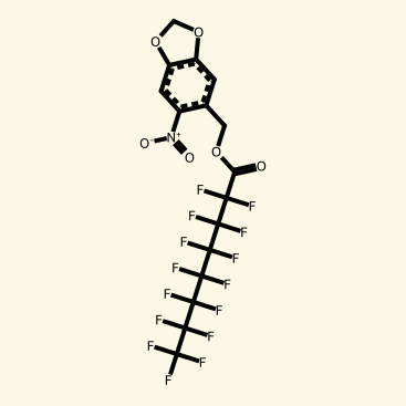 O=C(OCc1cc2c(cc1[N+](=O)[O-])OCO2)C(F)(F)C(F)(F)C(F)(F)C(F)(F)C(F)(F)C(F)(F)C(F)(F)F